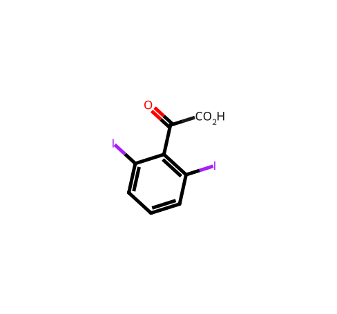 O=C(O)C(=O)c1c(I)cccc1I